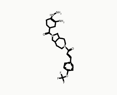 NNC1=C(N)CC(C(=O)N2CC3CCN(C(=O)/C=C/c4ccc(OC(F)(F)F)cc4)CCC3C2)CC1